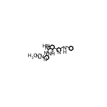 CN1CCN(c2nccc3[nH]c(-c4n[nH]c5ccc(-c6cncc(CNCc7ccccc7)c6)c(F)c45)nc23)CC1